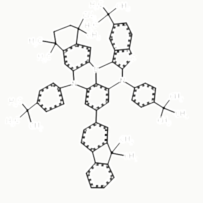 CC(C)(C)c1ccc(N2c3cc4c(cc3B3c5c2cc(-c2ccc6c(c2)C(C)(C)c2ccccc2-6)cc5N(c2ccc(C(C)(C)C)cc2)c2oc5ccc(C(C)(C)C)cc5c23)C(C)(C)CCC4(C)C)cc1